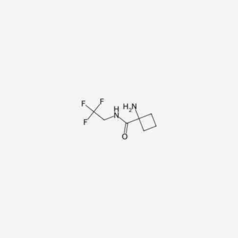 NC1(C(=O)NCC(F)(F)F)CCC1